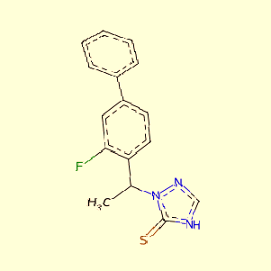 CC(c1ccc(-c2ccccc2)cc1F)n1nc[nH]c1=S